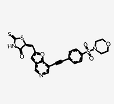 O=C1NC(=S)S/C1=C/c1cc2cncc(C#Cc3ccc(S(=O)(=O)N4CCOCC4)cc3)c2o1